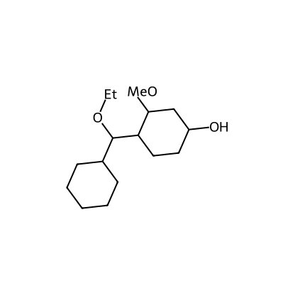 CCOC(C1CCCCC1)C1CCC(O)CC1OC